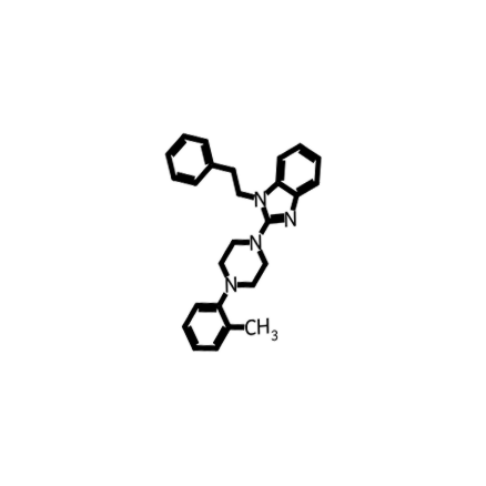 Cc1ccccc1N1CCN(c2nc3ccccc3n2CCc2ccccc2)CC1